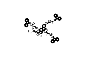 C[C@H](CCCN)[C@H]1CC[C@H]2C3[C@H](OCCCNC(=O)OCC4c5ccccc5-c5ccccc54)CC4C[C@H](OCCCNC(=O)OCC5c6ccccc6-c6ccccc65)CCC4(C)[C@H]3C[C@H](OCCCNC(=O)OCC3c4ccccc4-c4ccccc43)C12C